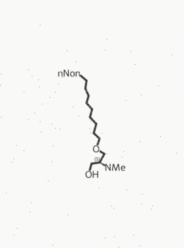 CCCCCCCCCCCCCCCCCCOC[C@H](CO)NC